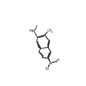 CCN(CC)c1ccc2cc(NF)c(C)cc2c1